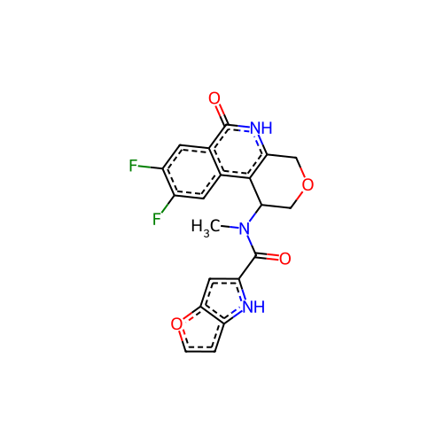 CN(C(=O)c1cc2occc2[nH]1)C1COCc2[nH]c(=O)c3cc(F)c(F)cc3c21